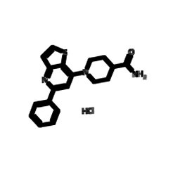 Cl.NC(=O)C1CCN(c2cc(-c3ccccc3)nc3ccsc23)CC1